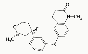 C[C@H]1C[C@@](F)(c2cccc(Sc3ccc4c(c3)CCC(=O)N4C)c2)CCO1